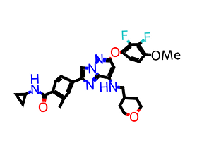 COc1ccc(Oc2cc(NCC3CCOCC3)c3nc(-c4ccc(C(=O)NC5CC5)c(C)c4)cn3n2)c(F)c1F